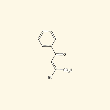 CCC(=CC(=O)c1ccccc1)C(=O)O